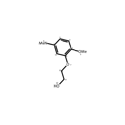 CNc1ccc(OC)c(OCCO)c1